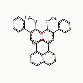 COc1cc(C)c(-c2cccc3cccc(-c4cc(-c5ccccc5)c(OC)cc4C)c23)cc1-c1ccccc1